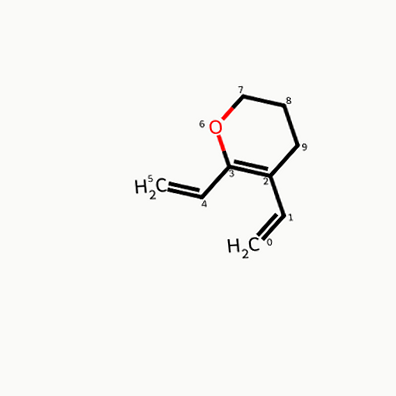 C=CC1=C(C=C)OCCC1